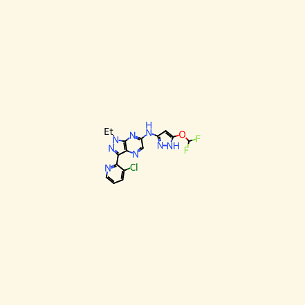 CCn1nc(-c2ncccc2Cl)c2ncc(Nc3cc(OC(F)F)[nH]n3)nc21